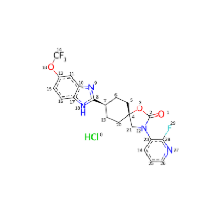 Cl.O=C1O[C@]2(CC[C@H](c3nc4cc(OC(F)(F)F)ccc4[nH]3)CC2)CN1c1cccnc1F